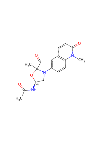 CC(=O)N[C@@H]1CN(c2ccc3c(ccc(=O)n3C)c2)C(C)(C=O)O1